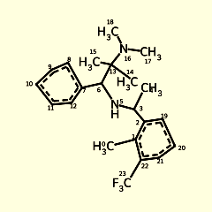 Cc1c(C(C)NC(c2ccccc2)C(C)(C)N(C)C)cccc1C(F)(F)F